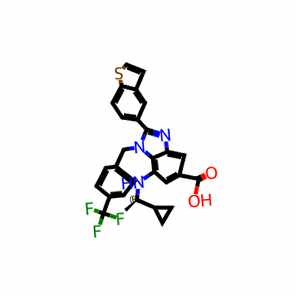 C[C@@H](Nc1cc(C(=O)O)cc2nc(-c3ccc4sccc4c3)n(Cc3ccc(C(F)(F)F)cc3)c12)C1CC1